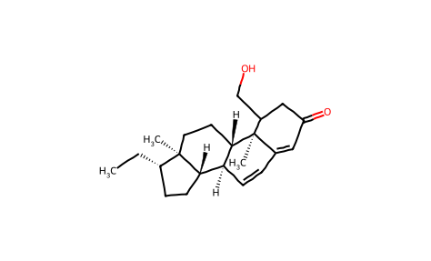 CC[C@H]1CC[C@H]2[C@@H]3C=CC4=CC(=O)CC(CO)[C@]4(C)[C@H]3CC[C@]12C